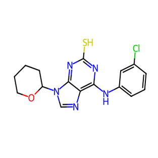 Sc1nc(Nc2cccc(Cl)c2)c2ncn(C3CCCCO3)c2n1